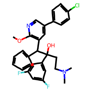 COc1ncc(-c2ccc(Cl)cc2)cc1C(c1ccccc1)C(O)(CCN(C)C)c1cc(F)cc(F)c1